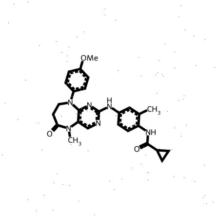 COc1ccc(N2CCC(=O)N(C)c3cnc(Nc4ccc(NC(=O)C5CC5)c(C)c4)nc32)cc1